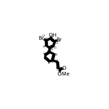 COC(=O)C=Cc1cccc(-c2cc(Br)c(O)c(Br)c2)c1